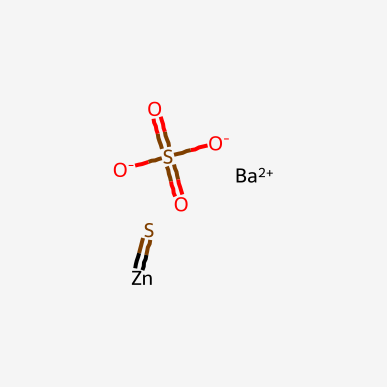 O=S(=O)([O-])[O-].[Ba+2].[S]=[Zn]